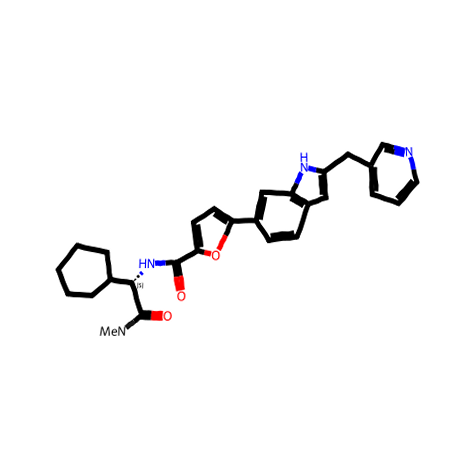 CNC(=O)[C@@H](NC(=O)c1ccc(-c2ccc3cc(Cc4cccnc4)[nH]c3c2)o1)C1CCCCC1